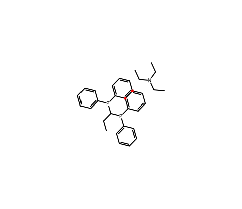 CCC(P(c1ccccc1)c1ccccc1)P(c1ccccc1)c1ccccc1.CCN(CC)CC